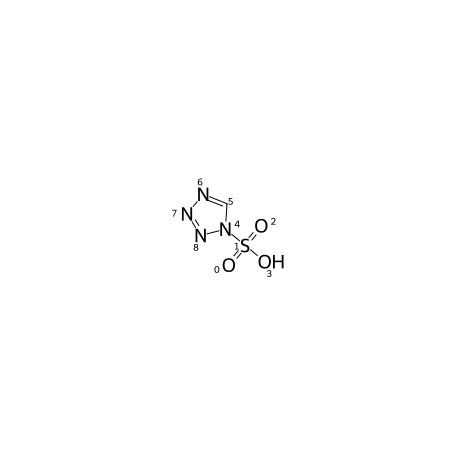 O=S(=O)(O)n1cnnn1